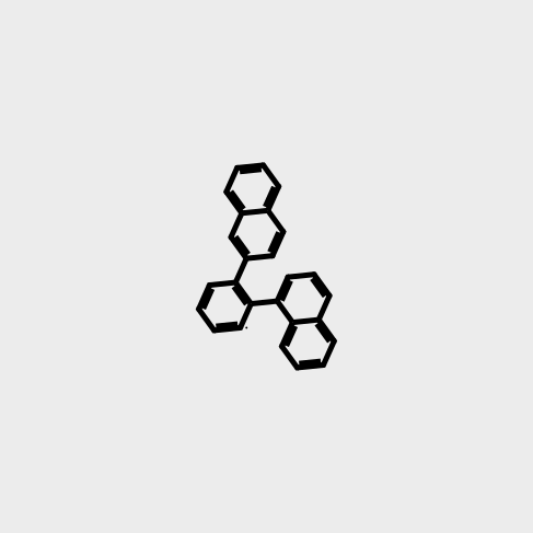 [c]1cccc(-c2ccc3ccccc3c2)c1-c1cccc2ccccc12